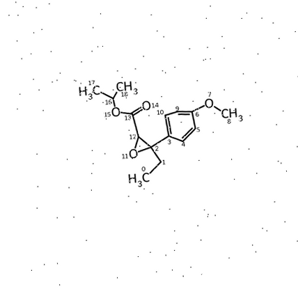 CCC1(c2ccc(OC)cc2)OC1C(=O)OC(C)C